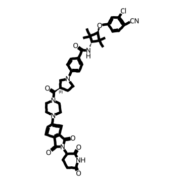 CC1(C)[C@H](NC(=O)c2ccc(N3CC[C@@H](C(=O)N4CCN(c5ccc6c(c5)C(=O)N(C5CCC(=O)NC5=O)C6=O)CC4)C3)cc2)C(C)(C)[C@H]1Oc1ccc(C#N)c(Cl)c1